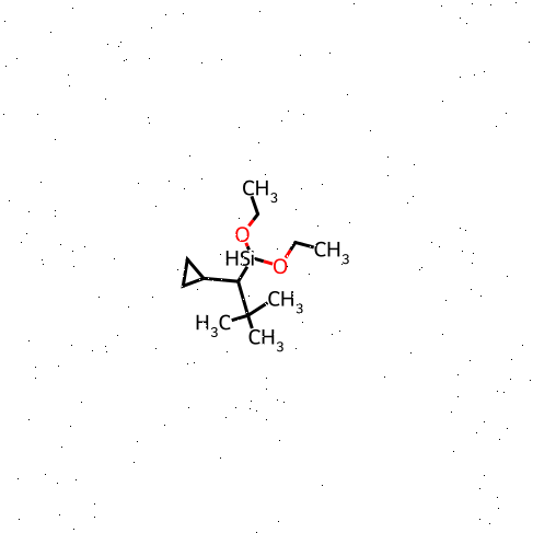 CCO[SiH](OCC)C(C1CC1)C(C)(C)C